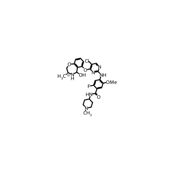 COc1cc(C(=O)NC2CCN(C)CC2)c(F)cc1Nc1ncc(Cl)c(Oc2cccc3c2C(O)N[C@@H](C)CO3)n1